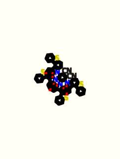 N#Cc1c(C#N)c(-n2c3ccccc3c3c4c(ccc32)sc2ccccc24)c(-n2c3ccccc3c3c4c(ccc32)sc2ccccc24)c(-n2c3ccccc3c3c4c(ccc32)sc2ccccc24)c1-n1c2ccccc2c2c3c(ccc21)sc1ccccc13